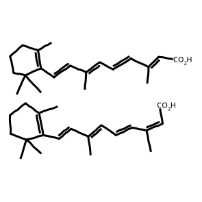 CC1=C(/C=C/C(C)=C/C=C/C(C)=C/C(=O)O)C(C)(C)CCC1.CC1=C(/C=C/C(C)=C/C=C/C(C)=C\C(=O)O)C(C)(C)CCC1